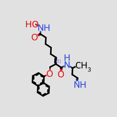 CC(CC=N)NC(=O)/C(=C/CCCCC(=O)NO)COc1cccc2ccccc12